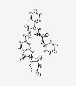 O=C1CCC(N2Cc3cc(CNC(=O)C(CNC(=O)Oc4ccccc4)c4ccccc4)ccc3C2=O)C(=O)N1